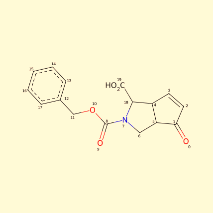 O=C1C=CC2C1CN(C(=O)OCc1ccccc1)C2C(=O)O